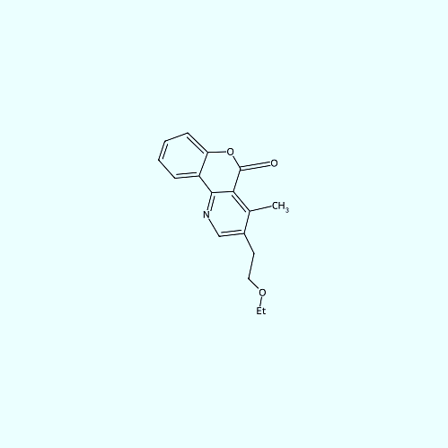 CCOCCc1cnc2c(c1C)c(=O)oc1ccccc12